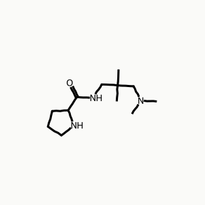 CN(C)CC(C)(C)CNC(=O)C1CCCN1